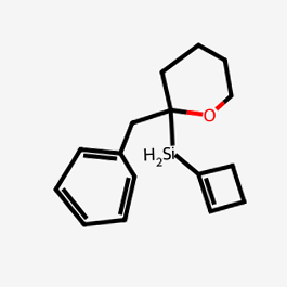 C1=C([SiH2]C2(Cc3ccccc3)CCCCO2)CC1